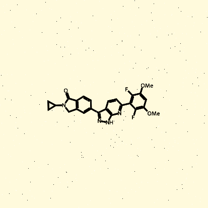 COc1cc(OC)c(F)c(-c2ccc3c(-c4ccc5c(c4)CN(C4CC4)C5=O)n[nH]c3n2)c1F